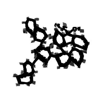 CC1(C)c2ccccc2-c2c(-c3c(-c4nc(-c5ccc6ccccc6c5)nc(-c5ccc6ccccc6c5)n4)ccc4ccccc34)cccc21